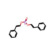 O=[PH](OC=Cc1ccccc1)OC=Cc1ccccc1